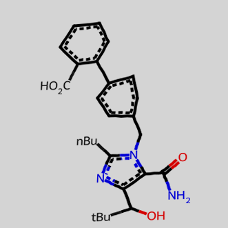 CCCCc1nc(C(O)C(C)(C)C)c(C(N)=O)n1Cc1ccc(-c2ccccc2C(=O)O)cc1